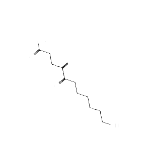 CCCCCCCC(=O)C(=O)CCC(C)=O